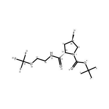 CC(C)(C)OC(=O)N1C[C@H](F)C[C@H]1C(=O)NCCOC(F)(F)F